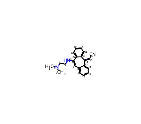 CN(C)CCNC1=Cc2ccccc2/C(=C/C#N)c2ccccc21